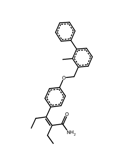 CCC(C(N)=O)=C(CC)c1ccc(OCc2cccc(-c3ccccc3)c2C)cc1